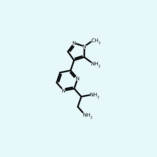 Cn1ncc(-c2ccnc(C(N)CN)n2)c1N